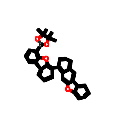 CC1(C)OB(c2cccc3c2oc2c(-c4cccc5cc6c(cc45)oc4ccccc46)cccc23)OC1(C)C